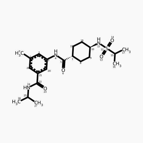 Cc1cc(NC(=O)[C@H]2CC[C@H](NS(=O)(=O)C(C)C)CC2)cc(C(=O)NC(C)C)c1